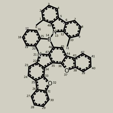 Cc1cccc2c3cccc(C)c3n(B3c4ccccc4-n4c5ccc6c7ccccc7oc6c5c5c6oc7ccccc7c6cc3c54)c12